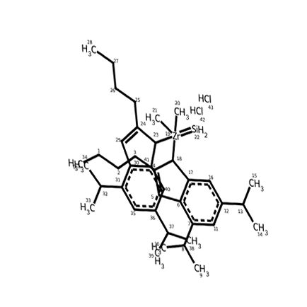 CCCCC1=Cc2c(C(C)C)cc(C(C)C)cc2[CH]1[Zr]([CH3])([CH3])(=[SiH2])[CH]1C(CCCC)=Cc2c(C(C)C)cc(C(C)C)cc21.Cl.Cl